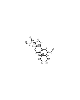 CC[C@H]1CC2C(CCC3(C)C2CCC3[C@H](C)CC)C2(C)CCCCC12